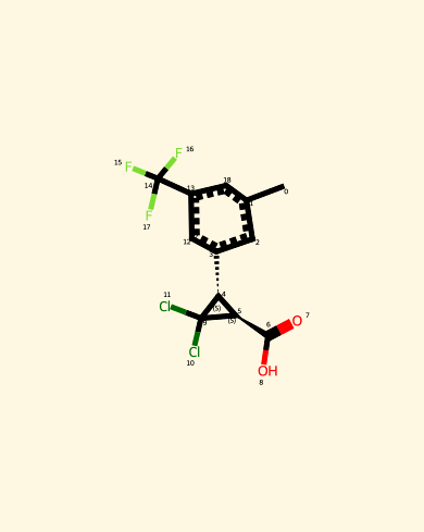 Cc1cc([C@@H]2[C@@H](C(=O)O)C2(Cl)Cl)cc(C(F)(F)F)c1